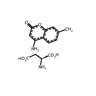 Cc1ccc2c(N)cc(=O)oc2c1.N[C@@H](CC(=O)O)C(=O)O